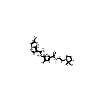 Cc1cc(C(=O)NCCN2CCCC2(C)C)sc1NC(=O)c1cnn2cc(Br)sc12